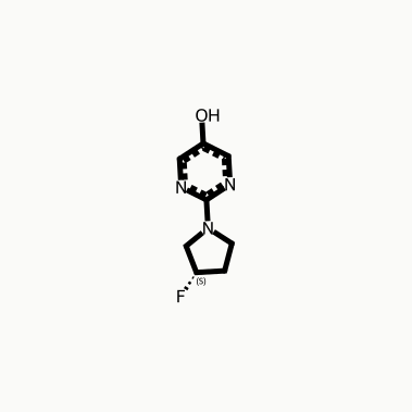 Oc1cnc(N2CC[C@H](F)C2)nc1